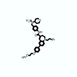 CCCOCCOc1ccc(-c2ccc3c(c2)C=C(C(=O)Nc2ccc(CN(C)C4CCOCC4)cc2)CCN3CCC(C)C)cc1